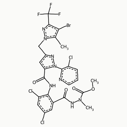 COC(=O)N(C)NC(=O)c1cc(Cl)cc(Cl)c1NC(=O)c1cc(Cn2nc(C(F)(F)F)c(Br)c2C)nn1-c1ncccc1Cl